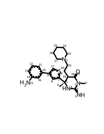 CN1C(=N)N[C@](C)(c2cc(-c3cccc(N)c3)cs2)C(CCN2CCCCC2)C1=O